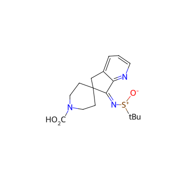 CC(C)(C)[S+]([O-])/N=C1\c2ncccc2CC12CCN(C(=O)O)CC2